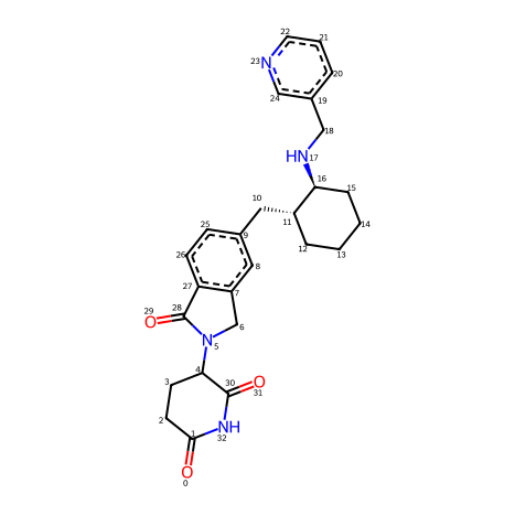 O=C1CCC(N2Cc3cc(C[C@H]4CCCC[C@@H]4NCc4cccnc4)ccc3C2=O)C(=O)N1